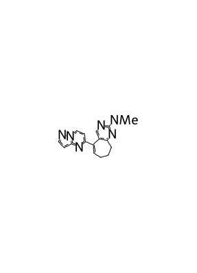 CNc1ncc2c(n1)CCCC=C2c1ccn2nccc2n1